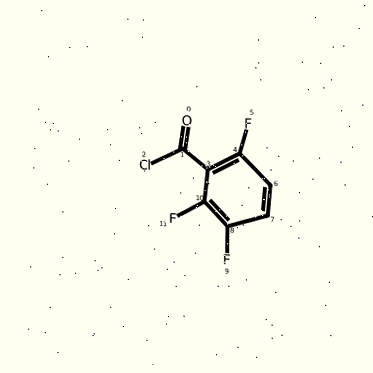 O=C(Cl)c1c(F)ccc(F)c1F